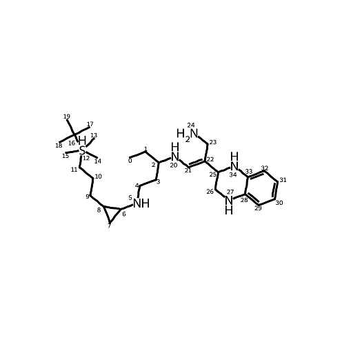 CCC(CCNC1CC1CCC[SH](C)(C)(C)C(C)(C)C)N/C=C(\CN)C1CNc2ccccc2N1